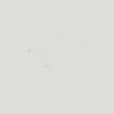 CN1NC2=CC=CC(=O)C2C1=O